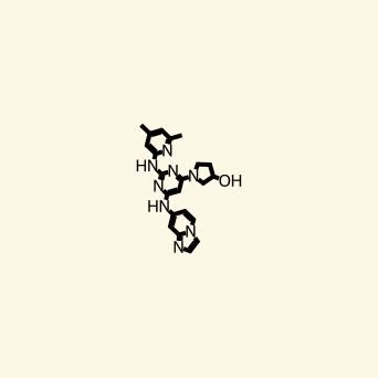 Cc1cc(C)nc(Nc2nc(Nc3ccn4ccnc4c3)cc(N3CCC(O)C3)n2)c1